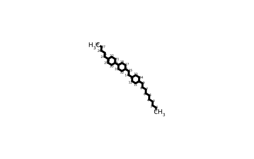 CCCCCCCCCCC1CCC(CCC2CCC(C3CCC(CCCCC)CC3)CC2)CC1